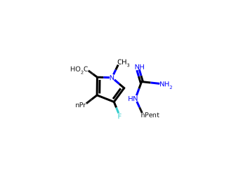 CCCCCNC(=N)N.CCCc1c(F)cn(C)c1C(=O)O